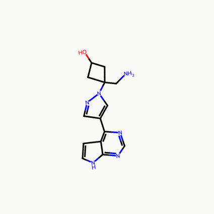 NCC1(n2cc(-c3ncnc4[nH]ccc34)cn2)CC(O)C1